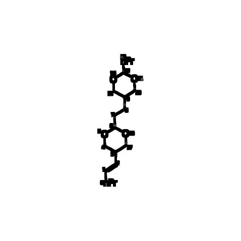 CCC/C=C/C1COC(CCC2COC(CCC)OC2)OC1